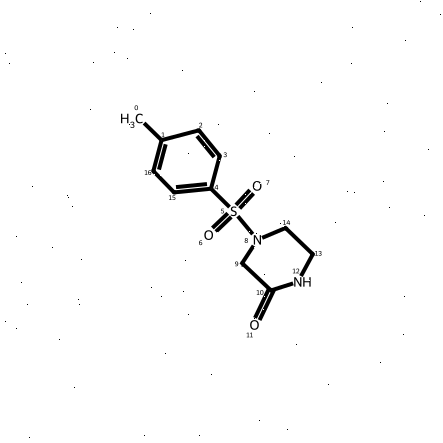 Cc1ccc(S(=O)(=O)N2[CH]C(=O)NCC2)cc1